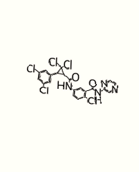 O=C(Nc1cnccn1)c1cc(NC(=O)C2C(c3cc(Cl)cc(Cl)c3)C2(Cl)Cl)ccc1Cl